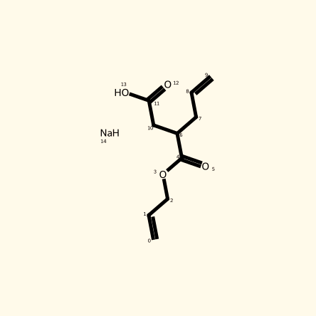 C=CCOC(=O)C(CC=C)CC(=O)O.[NaH]